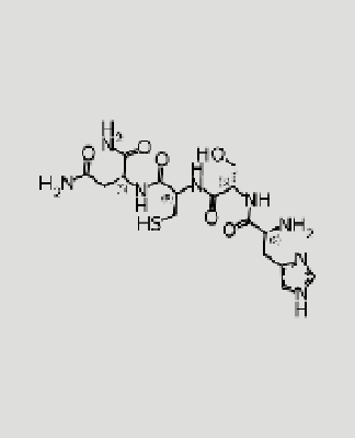 NC(=O)C[C@H](NC(=O)[C@H](CS)NC(=O)[C@H](CO)NC(=O)[C@@H](N)Cc1c[nH]cn1)C(N)=O